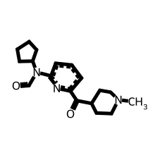 CN1CCC(C(=O)c2cccc(N(C=O)C3CCCC3)n2)CC1